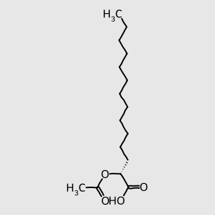 CCCCCCCCCCCC[C@@H](OC(C)=O)C(=O)O